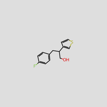 OCC(Cc1ccc(F)cc1)c1ccsc1